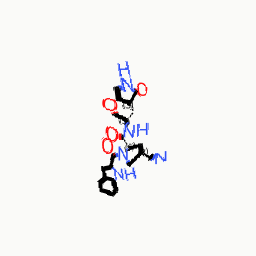 N#C[C@@H]1C[C@@H](C(=O)N[C@H](C=O)C[C@@H]2CCNC2=O)N(C(=O)c2cc3ccccc3[nH]2)C1